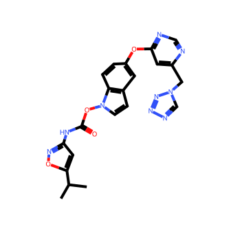 CC(C)c1cc(NC(=O)On2ccc3cc(Oc4cc(Cn5cnnn5)ncn4)ccc32)no1